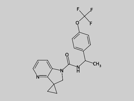 CC(NC(=O)N1CC2(CC2)c2ncccc21)c1ccc(OC(F)(F)F)cc1